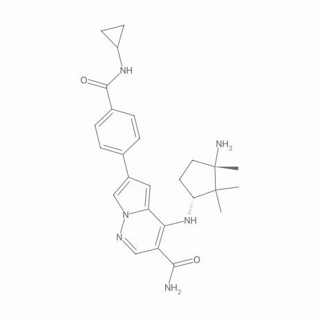 CC1(C)[C@H](Nc2c(C(N)=O)cnn3cc(-c4ccc(C(=O)NC5CC5)cc4)cc23)CC[C@]1(C)N